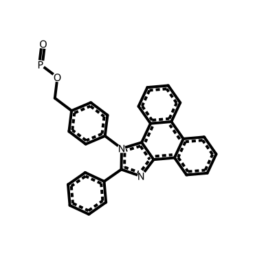 O=POCc1ccc(-n2c(-c3ccccc3)nc3c4ccccc4c4ccccc4c32)cc1